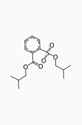 CC(C)COC(=O)c1ccccc1S(=O)(=O)OCC(C)C